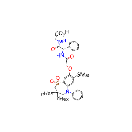 CCCCCCC1(CCCCCC)CN(c2ccccc2)c2cc(SC)c(OCC(=O)NC(C(=O)NCC(=O)O)c3ccccc3)cc2S(=O)(=O)C1